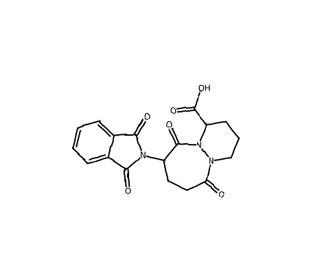 O=C(O)C1CCCN2C(=O)CCC(N3C(=O)c4ccccc4C3=O)C(=O)N12